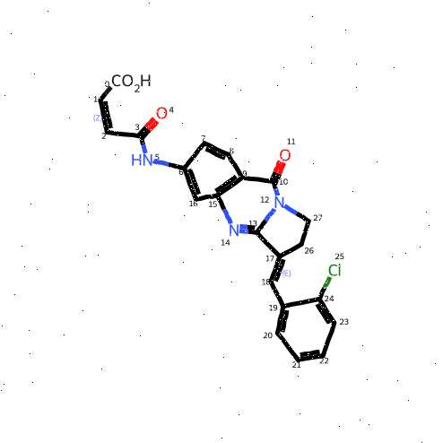 O=C(O)/C=C\C(=O)Nc1ccc2c(=O)n3c(nc2c1)/C(=C/c1ccccc1Cl)CC3